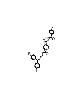 Cc1ccc(C(=O)NCC(=O)N2CCN(C(=O)CCCCC(c3ccc(F)cc3)c3ccc(F)cc3)CC2)cc1